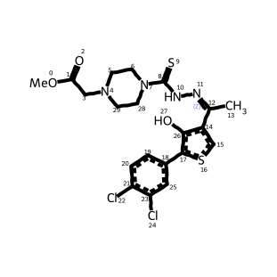 COC(=O)CN1CCN(C(=S)N/N=C(/C)c2csc(-c3ccc(Cl)c(Cl)c3)c2O)CC1